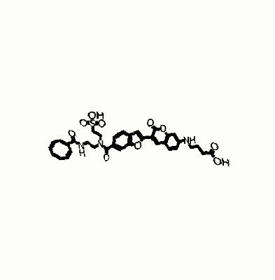 O=C(O)CCCNc1ccc2cc(-c3cc4ccc(C(=O)N(CCNC(=O)C5=C/C=C\C=C/C=C\5)CCS(=O)(=O)O)cc4o3)c(=O)oc2c1